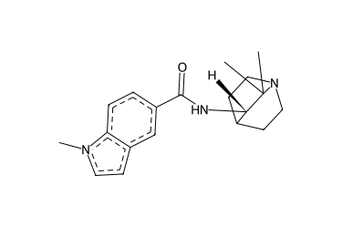 Cn1ccc2cc(C(=O)N[C@H]3C4CCN(CC4)C3(C)C)ccc21